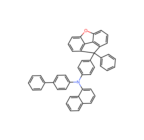 c1ccc(-c2ccc(N(c3ccc(C4(c5ccccc5)c5cccc6oc7cccc4c7c56)cc3)c3cccc4ccccc34)cc2)cc1